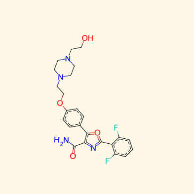 NC(=O)c1nc(-c2c(F)cccc2F)oc1-c1ccc(OCCN2CCN(CCO)CC2)cc1